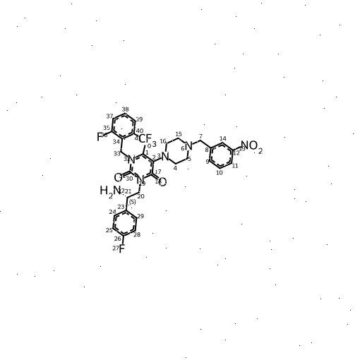 Cc1c(N2CCN(Cc3cccc([N+](=O)[O-])c3)CC2)c(=O)n(C[C@@H](N)c2ccc(F)cc2)c(=O)n1Cc1c(F)cccc1C(F)(F)F